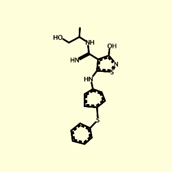 CC(CO)NC(=N)c1c(O)nsc1Nc1ccc(Sc2ccccc2)cc1